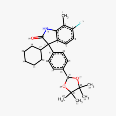 Cc1c(F)ccc2c1NC(=O)C2(c1ccc(B2OC(C)(C)C(C)(C)O2)cc1)C1CCCCC1